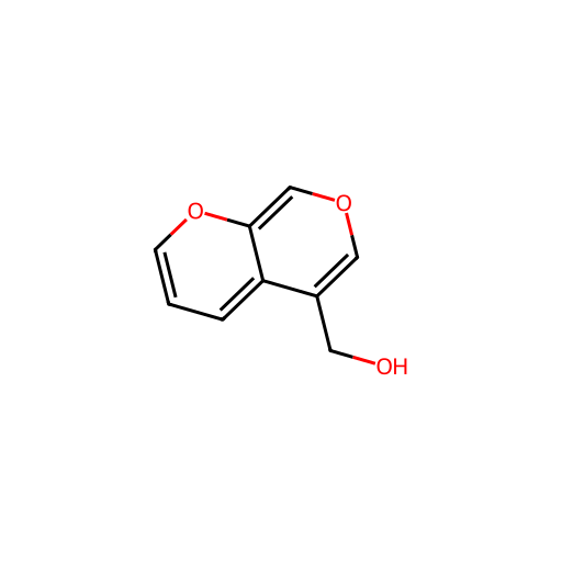 OCC1=COC=C2OC=CC=C12